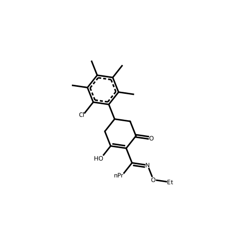 CCCC(=NOCC)C1=C(O)CC(c2c(C)c(C)c(C)c(C)c2Cl)CC1=O